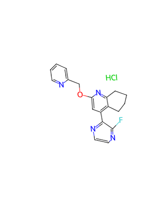 Cl.Fc1nccnc1-c1cc(OCc2ccccn2)nc2c1CCCC2